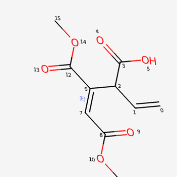 C=CC(C(=O)O)/C(=C\C(=O)OC)C(=O)OC